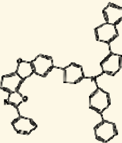 c1ccc(-c2ccc(N(c3ccc(-c4ccc5oc6ccc7nc(-c8ccccc8)oc7c6c5c4)cc3)c3cccc(-c4ccc5ccccc5c4)c3)cc2)cc1